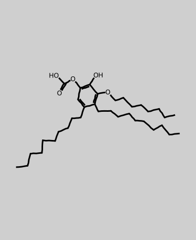 CCCCCCCCCCc1cc(OC(=O)O)c(O)c(OCCCCCCCC)c1CCCCCCCCCC